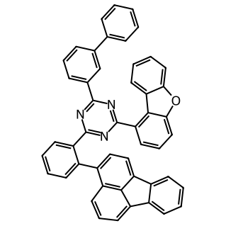 c1ccc(-c2cccc(-c3nc(-c4ccccc4-c4ccc5c6c(cccc46)-c4ccccc4-5)nc(-c4cccc5oc6ccccc6c45)n3)c2)cc1